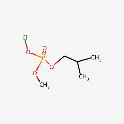 COP(=O)(OCl)OCC(C)C